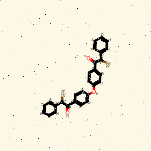 O=C(c1ccc(Oc2ccc(C(=O)C(Br)c3ccccc3)cc2)cc1)C(Br)c1ccccc1